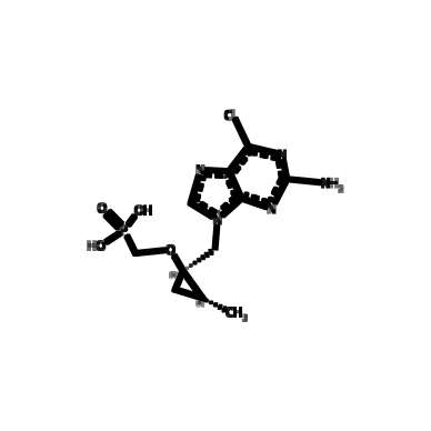 C[C@@H]1C[C@@]1(Cn1cnc2c(Cl)nc(N)nc21)OCP(=O)(O)O